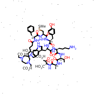 CSSCC(NC(=O)[C@@H](Cc1ccccc1)NC(=O)CCCCC1(N(CC(=O)O)CC(=O)O)CN(CC(=O)O)CCN(CC(=O)O)C1)C(=O)N[C@@H](Cc1ccc(O)cc1)C(=O)N[C@H](Cc1c[nH]c2ccccc12)C(=O)N[C@@H](CCCCN)C(=O)N[C@H](C(=O)N[C@@H](C)C(=O)N[C@H](C(=O)O)C(C)O)C(C)O